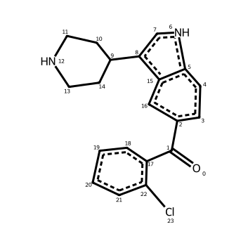 O=C(c1ccc2[nH]cc(C3CCNCC3)c2c1)c1ccccc1Cl